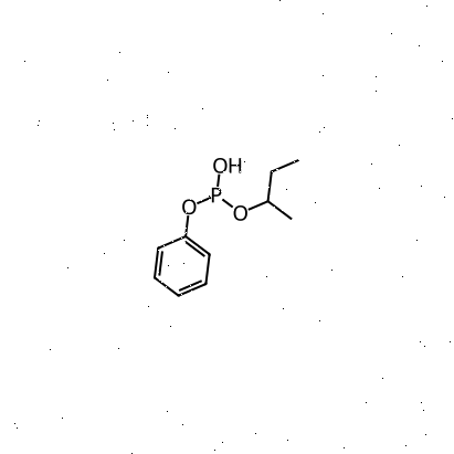 CCC(C)OP(O)Oc1ccccc1